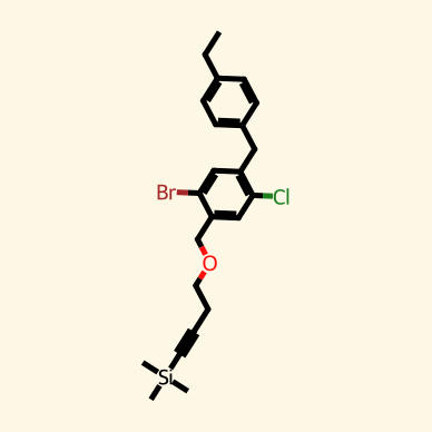 CCc1ccc(Cc2cc(Br)c(COCCC#C[Si](C)(C)C)cc2Cl)cc1